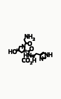 NCC(=O)N1C[C@H](O)C[C@H]1C(=O)N[C@@H](Cc1c[nH]cn1)C(=O)O